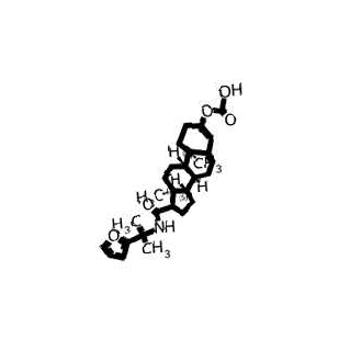 CC(C)(NC(=O)C1CC[C@H]2[C@@H]3CC=C4C=C(OC(=O)O)CC[C@]4(C)[C@H]3CC[C@]12C)c1ccco1